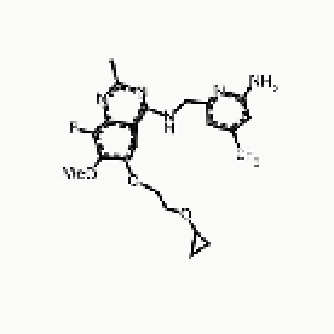 COc1c(OCCOC2CC2)cc2c(NCc3cc(C(F)(F)F)cc(N)n3)nc(C)nc2c1F